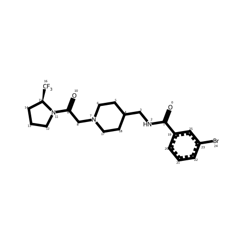 O=C(NCC1CCN(CC(=O)N2CCC[C@H]2C(F)(F)F)CC1)c1cccc(Br)c1